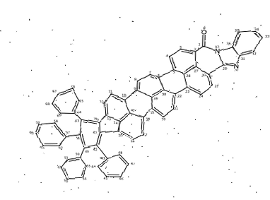 O=c1c2ccc3c4ccc5c6ccc7c8c(ccc(c9ccc(c%10ccc(c2c3%10)c2nc3ccccc3n12)c4c59)c86)-c1c(-c2ccccc2)c(-c2ccccc2)c(-c2ccccc2)c(-c2ccccc2)c1-7